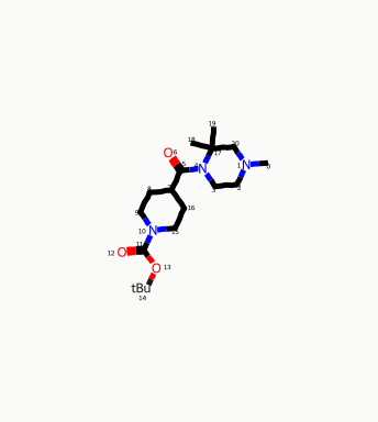 CN1CCN(C(=O)C2CCN(C(=O)OC(C)(C)C)CC2)C(C)(C)C1